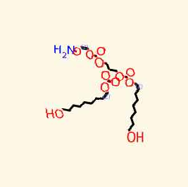 NO/C=C\OC(=O)OCC(COC(=O)O/C=C\CCCCCCCO)OC(=O)O/C=C\CCCCCCCO